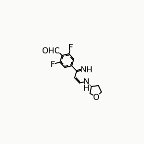 N=C(/C=C\N[C@@H]1CCOC1)c1cc(F)c(C=O)c(F)c1